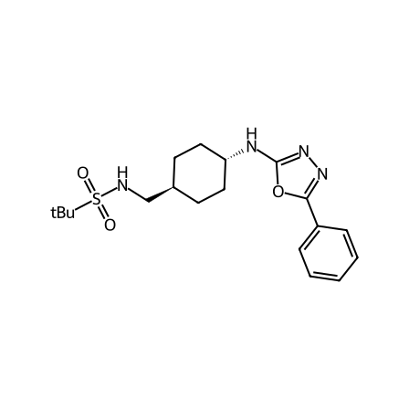 CC(C)(C)S(=O)(=O)NC[C@H]1CC[C@H](Nc2nnc(-c3ccccc3)o2)CC1